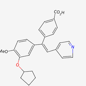 COc1ccc(C(=Cc2ccncc2)c2ccc(C(=O)O)cc2)cc1OC1CCCC1